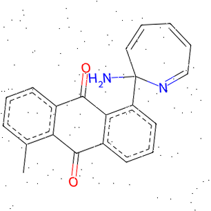 Cc1cccc2c1C(=O)c1cccc(C3(N)C=CC=CC=N3)c1C2=O